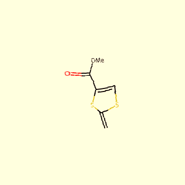 C=C1SC=C(C(=O)OC)S1